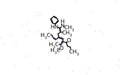 CC\C=C/C(=C\C(C(=O)CCC)=C(/C)OC)C/C(C)=C(/NC)Nc1ccccc1